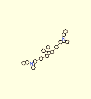 c1ccc(C2(c3ccccc3)c3cc(-c4ccc(-c5ccc6c(c5)c5ccccc5n6-c5ccc6ccccc6c5)cc4)ccc3-c3ccc(-c4ccc(-c5ccc6c(c5)c5ccccc5n6-c5ccc6ccccc6c5)cc4)cc32)cc1